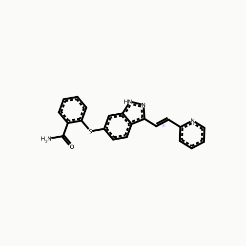 NC(=O)c1ccccc1Sc1ccc2c(/C=C/c3ccccn3)n[nH]c2c1